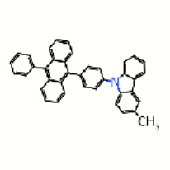 Cc1ccc2c(c1)c1ccccc1n2-c1ccc(-c2c3ccccc3c(-c3ccccc3)c3ccccc23)cc1